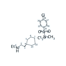 CCNCC[C@H]1CC[C@H](CCN(C)S(=O)(=O)c2ccc(Cl)cc2)CC1